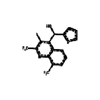 Cc1c(C(F)(F)F)nc2c(C(F)(F)F)cccc2c1C(O)c1cccs1